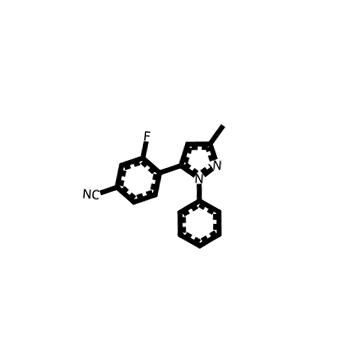 Cc1cc(-c2ccc(C#N)cc2F)n(-c2ccccc2)n1